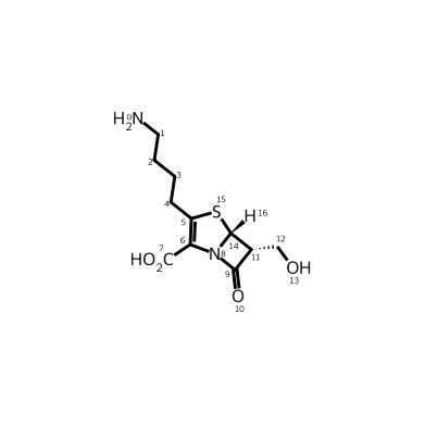 NCCCCC1=C(C(=O)O)N2C(=O)[C@@H](CO)[C@H]2S1